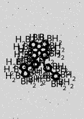 Bc1cc(N(c2cc(B)c(-c3c(B)c(B)c(B)c(B)c3B)c(B)c2)c2cc(B)c(-c3c(B)c(B)c(B)c4c(B)c(B)c(B)c(B)c34)c(B)c2)cc(C2(c3c(B)c(B)c(B)c(B)c3B)c3c(B)c(B)c(B)c(B)c3-c3c(B)c(B)c(B)c(B)c32)c1B